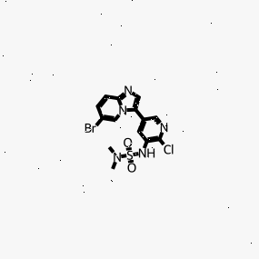 CN(C)S(=O)(=O)Nc1cc(-c2cnc3ccc(Br)cn23)cnc1Cl